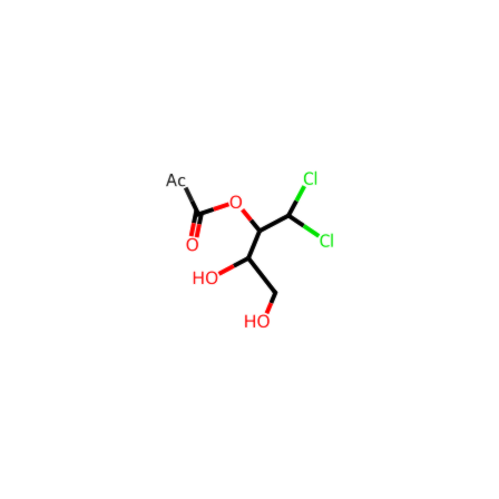 CC(=O)C(=O)OC(C(Cl)Cl)C(O)CO